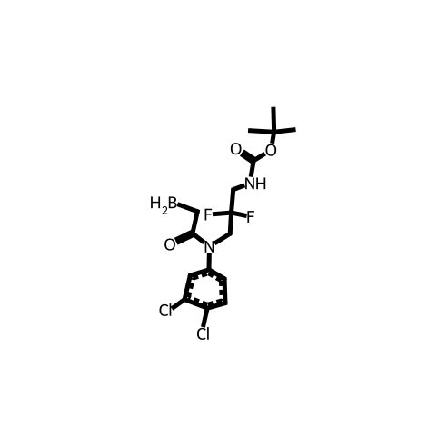 BCC(=O)N(CC(F)(F)CNC(=O)OC(C)(C)C)c1ccc(Cl)c(Cl)c1